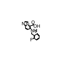 O=C(O)c1c(NCc2c(F)cccc2F)ccc2nccn12